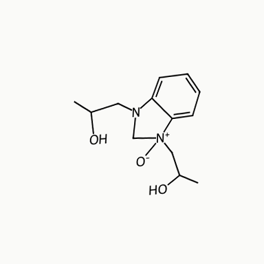 CC(O)CN1C[N+]([O-])(CC(C)O)c2ccccc21